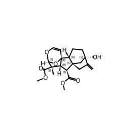 C=C1C[C@]23C[C@@]1(O)CC[C@H]2[C@@]12C=CO[C@@H](O1)[C@@](C)(C(=O)OC)[C@H]2[C@@H]3C(=O)OC